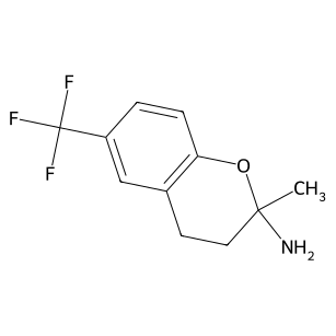 CC1(N)CCc2cc(C(F)(F)F)ccc2O1